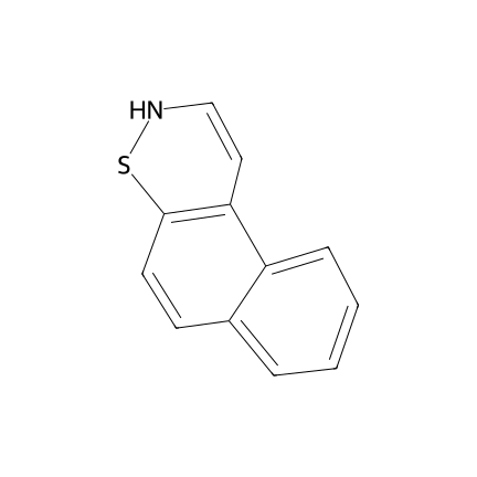 C1=Cc2c(ccc3ccccc23)SN1